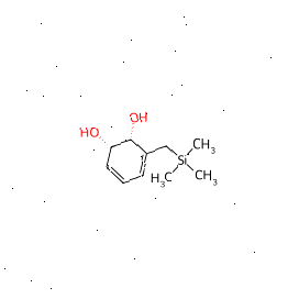 C[Si](C)(C)CC1=CC=C[C@H](O)[C@@H]1O